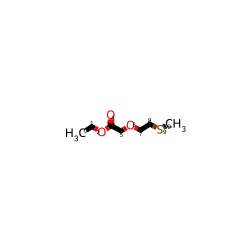 CCOC(=O)COCCSC